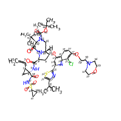 C=C[C@@H]1C[C@]1(NC(=O)[C@@H]1C[C@@H](Oc2cc(-c3nc(C(C)C)cs3)nc3c(Cl)c(OCCN4CCOCC4)ccc23)[C@H]2CN(C(=O)OC(C)(C)C)[C@H](C(C)(C)C)C(=O)N21)C(=O)NS(=O)(=O)C1CC1